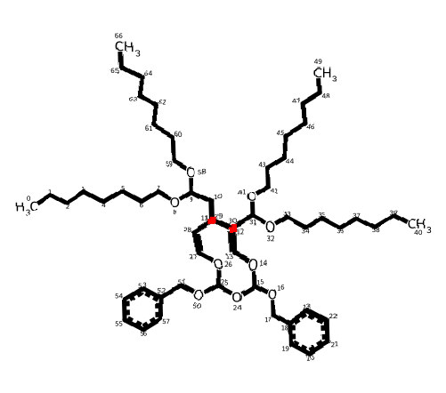 CCCCCCCCOC(CCC=COC(OCc1ccccc1)OC(OC=CCCC(OCCCCCCCC)OCCCCCCCC)OCc1ccccc1)OCCCCCCCC